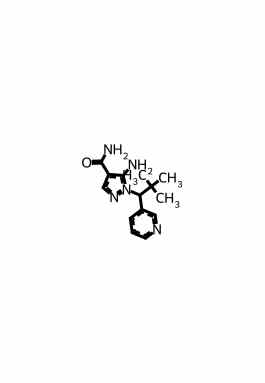 CC(C)(C)C(c1cccnc1)n1ncc(C(N)=O)c1N